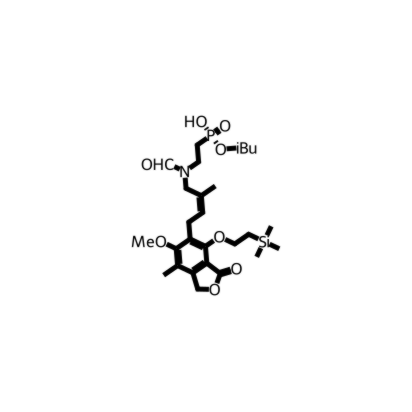 CCC(C)OP(=O)(O)CCN(C=O)CC(C)=CCc1c(OC)c(C)c2c(c1OCC[Si](C)(C)C)C(=O)OC2